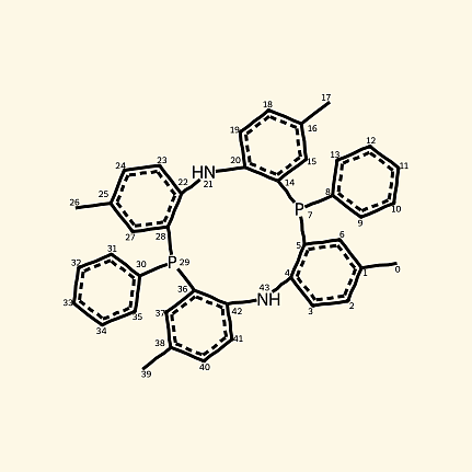 Cc1ccc2c(c1)P(c1ccccc1)c1cc(C)ccc1Nc1ccc(C)cc1P(c1ccccc1)c1cc(C)ccc1N2